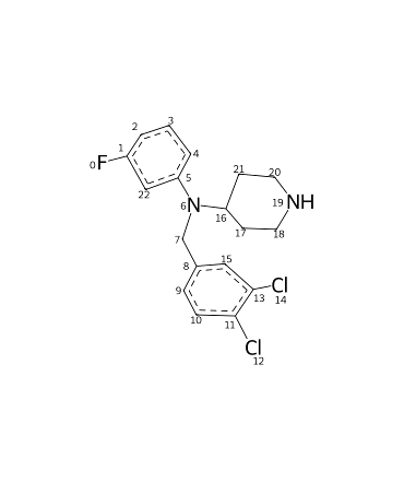 Fc1cccc(N(Cc2ccc(Cl)c(Cl)c2)C2CCNCC2)c1